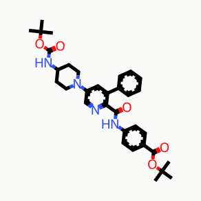 CC(C)(C)OC(=O)NC1CCN(c2cnc(C(=O)Nc3ccc(C(=O)OC(C)(C)C)cc3)c(-c3ccccc3)c2)CC1